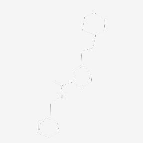 O=C(NCc1ccccc1)c1cccc(OCC2CCNCC2)c1